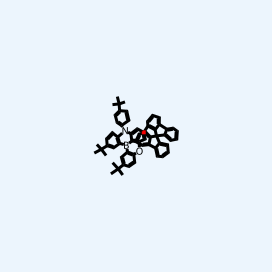 CC(C)(C)c1ccc(N2c3ccc(C(C)(C)C)cc3B3c4cc(C(C)(C)C)ccc4Oc4cc(-c5cccc6c5C5(c7ccccc7-c7ccccc75)c5ccccc5-6)cc2c43)cc1